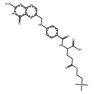 C[N+](C)(C)CCOC(=O)CCC(NC(=O)c1ccc(NCc2cnc3nc(N)[nH]c(=O)c3n2)cc1)C(=O)O